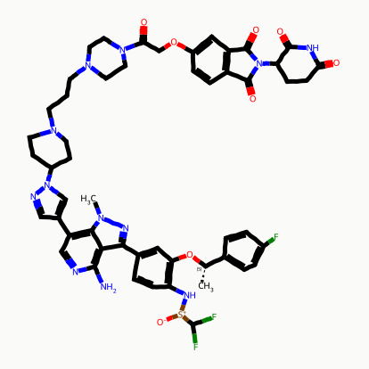 C[C@H](Oc1cc(-c2nn(C)c3c(-c4cnn(C5CCN(CCCN6CCN(C(=O)COc7ccc8c(c7)C(=O)N(C7CCC(=O)NC7=O)C8=O)CC6)CC5)c4)cnc(N)c23)ccc1N[S+]([O-])C(F)F)c1ccc(F)cc1